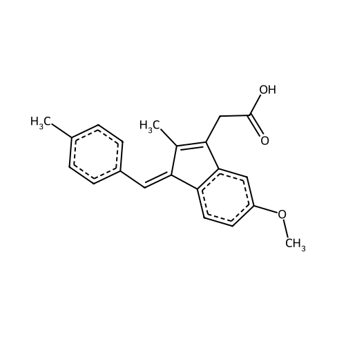 COc1ccc2c(c1)C(CC(=O)O)=C(C)C2=Cc1ccc(C)cc1